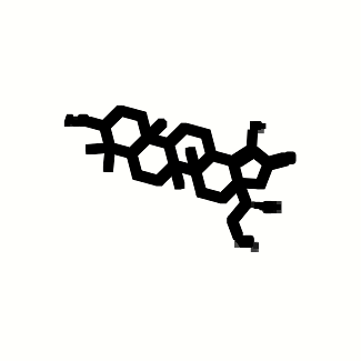 CC(=O)OC1CCC2(C)C(CCC3(C)C2CCC2C4=C(C(C)C)C(=O)CC4([C@H](O)C[N+](=O)[O-])CCC23C)C1(C)C